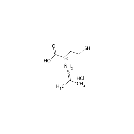 CC(C)=S.Cl.N[C@@H](CCS)C(=O)O